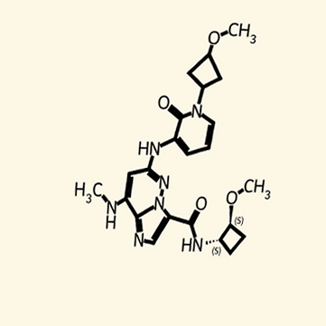 CNc1cc(Nc2cccn(C3CC(OC)C3)c2=O)nn2c(C(=O)N[C@H]3CC[C@@H]3OC)cnc12